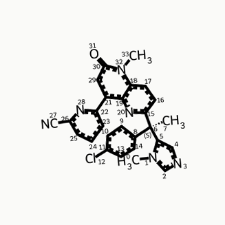 Cn1cncc1[C@@](C)(c1ccc(Cl)cc1)c1ccc2c(n1)c(-c1cccc(C#N)n1)cc(=O)n2C